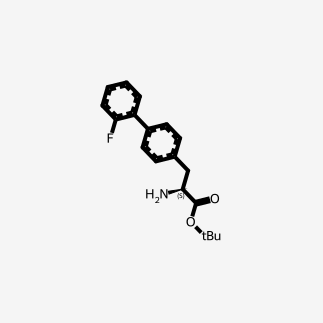 CC(C)(C)OC(=O)[C@@H](N)Cc1ccc(-c2ccccc2F)cc1